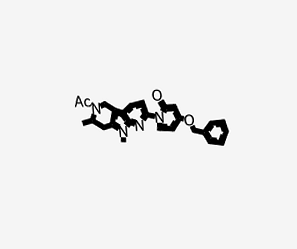 CC(=O)N1Cc2c(n(C)c3nc(-n4ccc(OCc5ccccc5)cc4=O)ccc23)CC1C